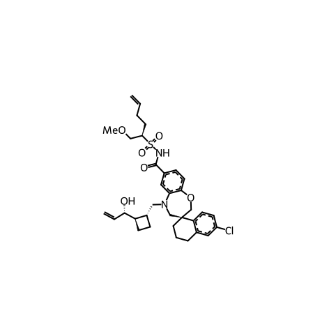 C=CCC[C@H](COC)S(=O)(=O)NC(=O)c1ccc2c(c1)N(C[C@@H]1CC[C@H]1[C@@H](O)C=C)C[C@@]1(CCCc3cc(Cl)ccc31)CO2